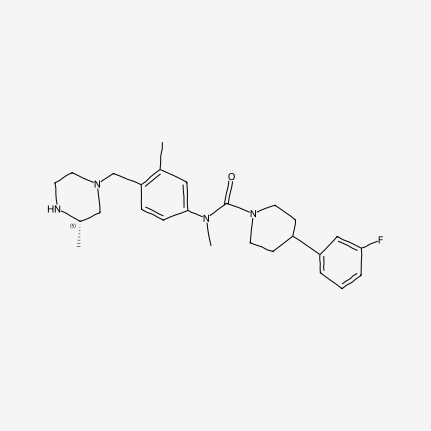 Cc1cc(N(C)C(=O)N2CCC(c3cccc(F)c3)CC2)ccc1CN1CCN[C@@H](C)C1